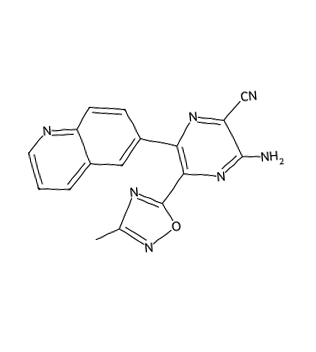 Cc1noc(-c2nc(N)c(C#N)nc2-c2ccc3ncccc3c2)n1